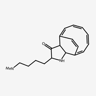 CNCCCCC1NC2C3=CC=CC=CC=C(C=C3)C2C1=O